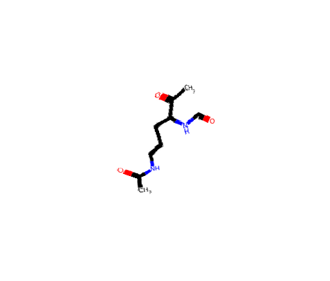 CC(=O)NCCCC(NC=O)C(C)=O